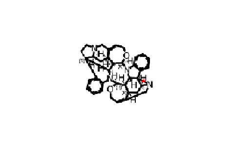 C1=C2CN3CC[C@]45c6ccccc6N6[C@@H]7OCC=C8CN9CC[C@]%10%11c%12ccccc%12N([C@H](OC1)[C@@H]([C@H]64)[C@H]2C[C@H]35)[C@H]%10[C@H]7[C@H]8C[C@H]9%11